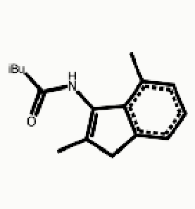 CCC(C)C(=O)NC1=C(C)Cc2cccc(C)c21